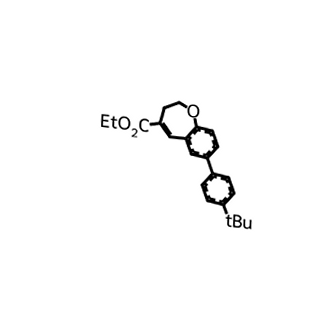 CCOC(=O)C1=Cc2cc(-c3ccc(C(C)(C)C)cc3)ccc2OCC1